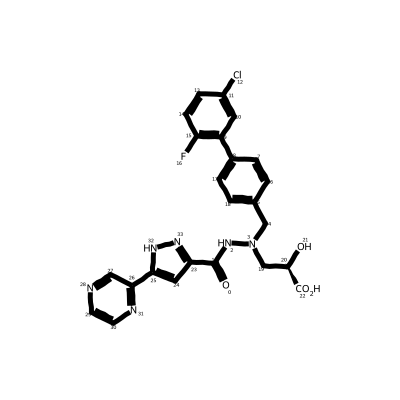 O=C(NN(Cc1ccc(-c2cc(Cl)ccc2F)cc1)C[C@@H](O)C(=O)O)c1cc(-c2cnccn2)[nH]n1